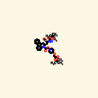 CC(C)(C)OC(=O)COC1CCN(OC(=O)N[C@H](CC(=C=O)NC(=O)OC(C)(C)C)CC2c3ccccc3-c3ccccc32)CC1